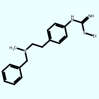 CCSC(=N)Nc1ccc(CCN(C)Cc2ccccc2)cc1